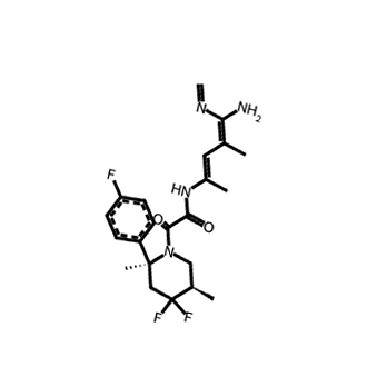 C=N/C(N)=C(C)\C=C(/C)NC(=O)C(=O)N1C[C@@H](C)C(F)(F)C[C@@]1(C)c1ccc(F)cc1